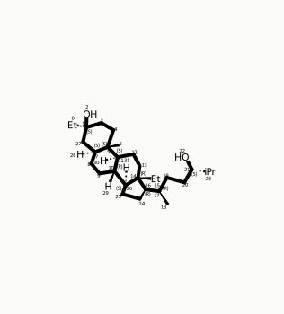 CC[C@]1(O)CC[C@@]2(C)[C@@H](CC[C@@H]3[C@@H]2CC[C@]2(CC)[C@@H]([C@H](C)CC[C@H](O)C(C)C)CC[C@@H]32)C1